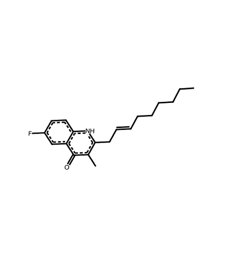 CCCCCC/C=C/Cc1[nH]c2ccc(F)cc2c(=O)c1C